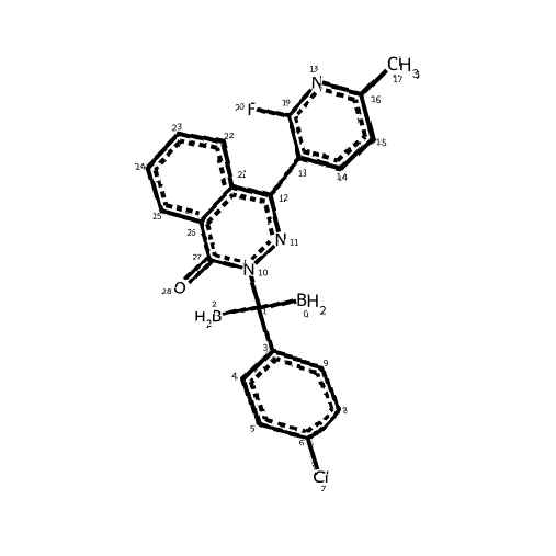 BC(B)(c1ccc(Cl)cc1)n1nc(-c2ccc(C)nc2F)c2ccccc2c1=O